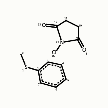 CSc1ccccc1.O=C1CCC(=O)N1Cl